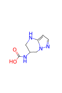 O=C(O)NC1CNc2ccnn2C1